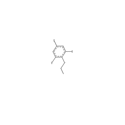 CC[CH]c1c(I)cc(I)cc1I